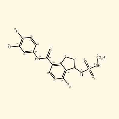 O=C(O)NS(=O)(=O)NC1CCc2c(C(=O)Nc3ccc(F)c(Cl)c3)ccc(F)c21